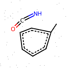 Cc1ccccc1.N=C=O